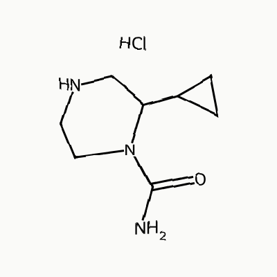 Cl.NC(=O)N1CCNCC1C1CC1